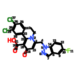 CCn1c(Cn2ncc3cc(F)ccc32)cc(=O)c(C(=O)O)c1-c1ccc(Cl)c(Cl)c1